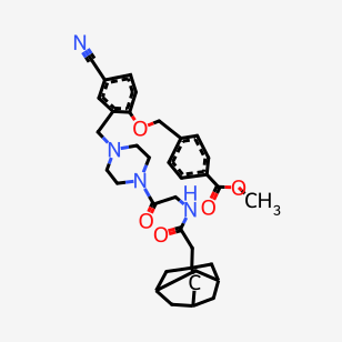 COC(=O)c1ccc(COc2ccc(C#N)cc2CN2CCN(C(=O)CNC(=O)CC34CC5CC(CC(C5)C3)C4)CC2)cc1